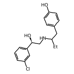 CCC(Cc1ccc(O)cc1)NC[C@H](O)c1cccc(Cl)c1